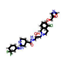 O=C(NC[C@H](O)CN1CCc2c(ccc(OCc3cnco3)c2Cl)C1)C1CCN=C(NC2CCCC(F)(F)C2)C1